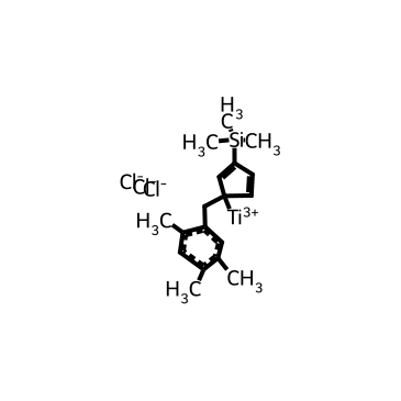 Cc1cc(C)c(C[C]2([Ti+3])C=CC([Si](C)(C)C)=C2)cc1C.[Cl-].[Cl-].[Cl-]